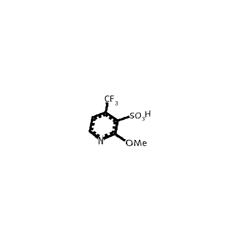 COc1nccc(C(F)(F)F)c1S(=O)(=O)O